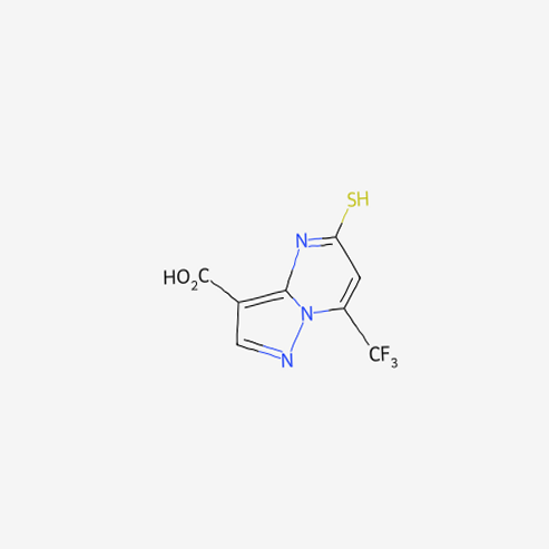 O=C(O)c1cnn2c(C(F)(F)F)cc(S)nc12